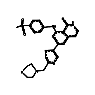 CS(=O)(=O)c1ccc(Nc2nc(-c3ccc(CN4CCOCC4)nc3)cc3cc[nH]c(=O)c23)cc1